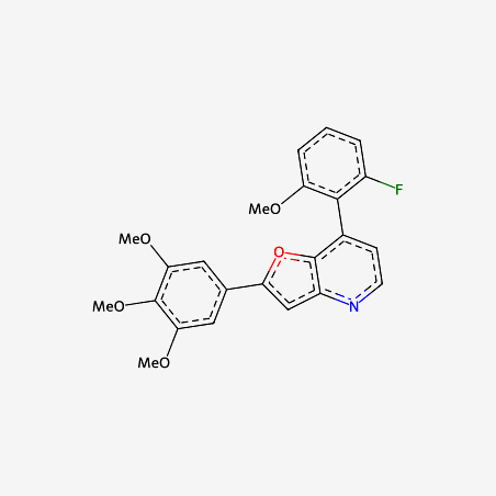 COc1cc(-c2cc3nccc(-c4c(F)cccc4OC)c3o2)cc(OC)c1OC